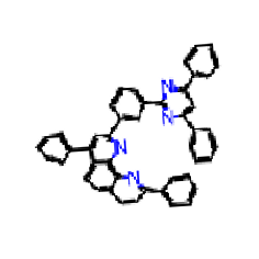 c1ccc(-c2cc(-c3ccccc3)nc(-c3cccc(-c4cc(-c5ccccc5)c5ccc6ccc(-c7ccccc7)nc6c5n4)c3)n2)cc1